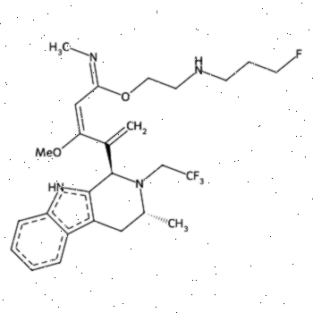 C=C(/C(=C\C(=N/C)OCCNCCCF)OC)[C@@H]1c2[nH]c3ccccc3c2C[C@@H](C)N1CC(F)(F)F